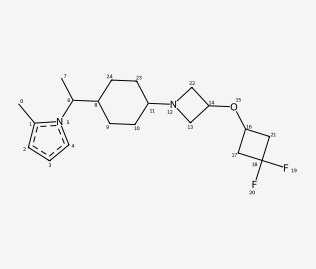 Cc1cccn1C(C)C1CCC(N2CC(OC3CC(F)(F)C3)C2)CC1